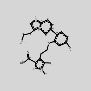 Cc1c(CCOc2cc(F)ccc2-c2ccc3ncc(CCN)n3c2)c(C(=O)O)nn1C